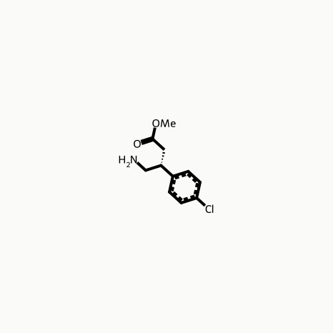 COC(=O)C[C@@H](CN)c1ccc(Cl)cc1